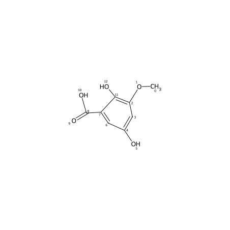 COc1cc(O)cc(C(=O)O)c1O